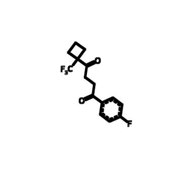 O=C(CCC(=O)C1(C(F)(F)F)CCC1)c1ccc(F)cc1